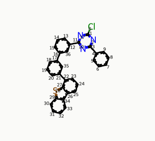 Clc1nc(-c2ccccc2)nc(-c2cccc(-c3cccc(-c4cccc5c4sc4ccccc45)c3)c2)n1